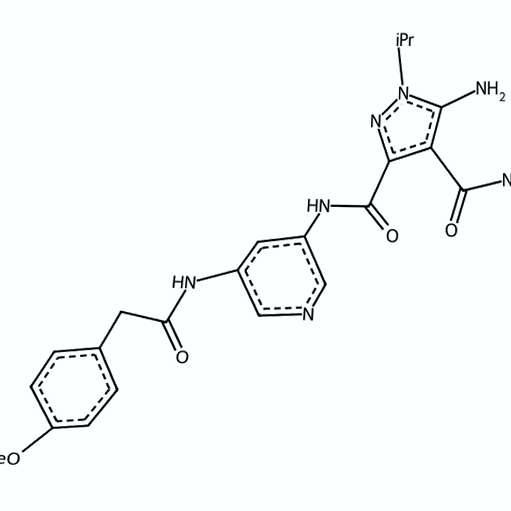 COc1ccc(CC(=O)Nc2cncc(NC(=O)c3nn(C(C)C)c(N)c3C(N)=O)c2)cc1